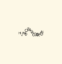 COC(Cc1cccc(-c2cnco2)c1)N1CCC(n2ccc3ccc(C(N)=O)cc32)CC1